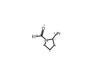 CCC(=O)N1CCCC1C(C)C